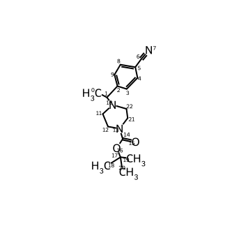 CC(c1ccc(C#N)cc1)N1CCN(C(=O)OC(C)(C)C)CC1